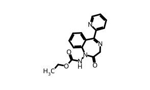 CCOC(=O)NN1C(=O)CN=C(c2ccccn2)c2ccccc21